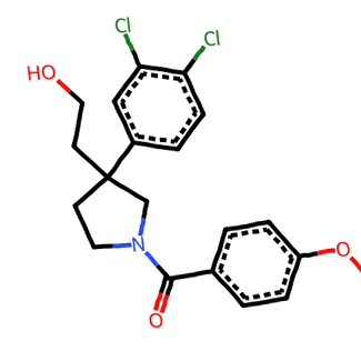 COc1ccc(C(=O)N2CCC(CCO)(c3ccc(Cl)c(Cl)c3)C2)cc1